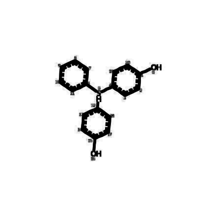 Oc1ccc([SH](c2ccccc2)c2ccc(O)cc2)cc1